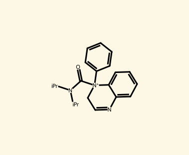 CC(C)N(C(=O)[N+]1(c2ccccc2)CC=Nc2ccccc21)C(C)C